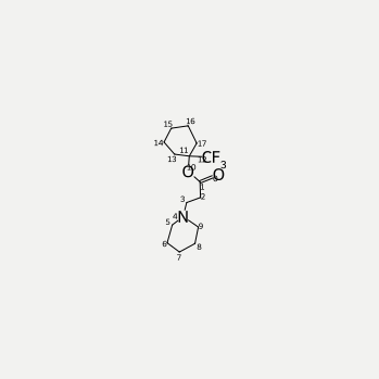 O=C(CCN1CCCCC1)OC1(C(F)(F)F)CCCCC1